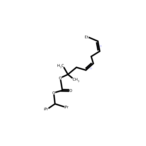 CC/C=C\C/C=C\CC(C)(C)OC(=O)OC(C(C)C)C(C)C